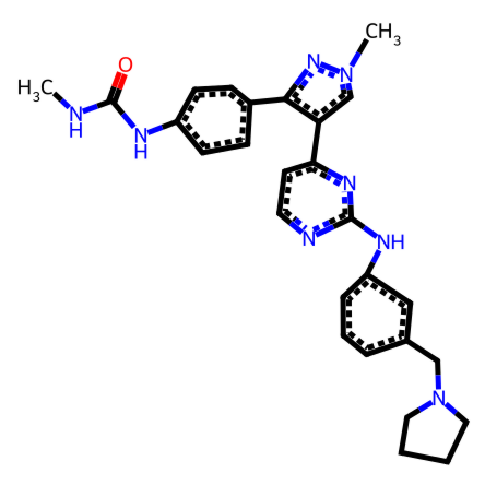 CNC(=O)Nc1ccc(-c2nn(C)cc2-c2ccnc(Nc3cccc(CN4CCCC4)c3)n2)cc1